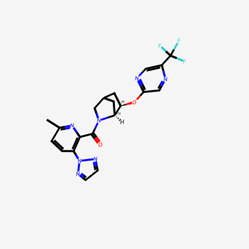 Cc1ccc(-n2nccn2)c(C(=O)N2CC3C[C@@H](Oc4cnc(C(F)(F)F)cn4)[C@@H]2C3)n1